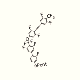 CCCCCc1ccc(-c2cc(F)c(C(F)(F)Oc3cc(F)c(C#Cc4cc(F)c(C(F)(F)F)c(F)c4)c(F)c3)c(F)c2)c(F)c1